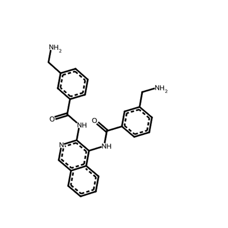 NCc1cccc(C(=O)Nc2ncc3ccccc3c2NC(=O)c2cccc(CN)c2)c1